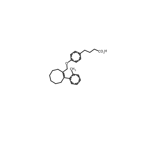 Cc1ccccc1C1=C(COc2ccc(CCCC(=O)O)cc2)CCCCCC1